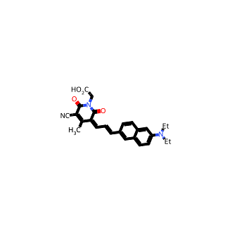 CCN(CC)c1ccc2cc(/C=C/C=C3\C(=O)N(CC(=O)O)C(=O)C(C#N)=C3C)ccc2c1